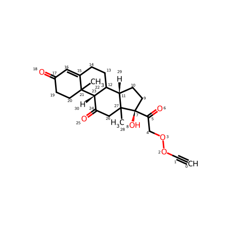 C#COOCC(=O)[C@@]1(O)CC[C@H]2C3CCC4=CC(=O)CCC4(C)[C@H]3C(=O)CC21C